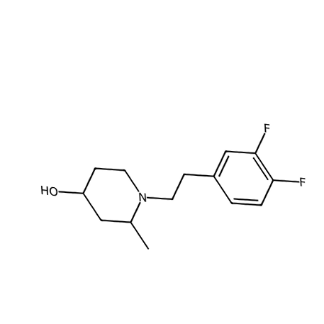 CC1CC(O)CCN1CCc1ccc(F)c(F)c1